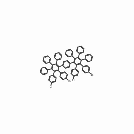 Clc1ccc(-c2c(-c3ccccc3)c(-c3ccccc3)c(-c3ccccc3)c(-c3ccc(-c4c(-c5ccccc5)c(-c5ccccc5)c(-c5ccccc5)c(-c5ccc(Br)cc5)c4-c4ccc(Cl)cc4)cc3)c2-c2ccc(Br)cc2)cc1